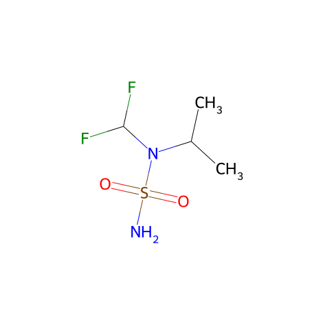 CC(C)N(C(F)F)S(N)(=O)=O